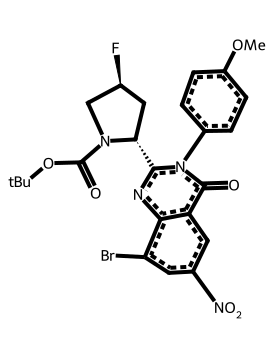 COc1ccc(-n2c([C@H]3C[C@H](F)CN3C(=O)OC(C)(C)C)nc3c(Br)cc([N+](=O)[O-])cc3c2=O)cc1